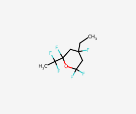 CCC1(F)CC(F)(F)OC(F)(C(C)(F)F)C1